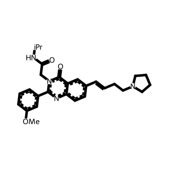 COc1cccc(-c2nc3ccc(/C=C/CCN4CCCC4)cc3c(=O)n2CC(=O)NC(C)C)c1